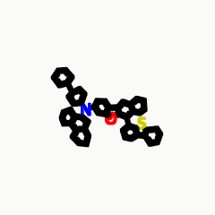 c1ccc(-c2ccc(N(c3ccc4c(c3)oc3c(-c5cccc6c5sc5ccccc56)c5ccccc5cc34)c3cc4ccccc4c4ccccc34)cc2)cc1